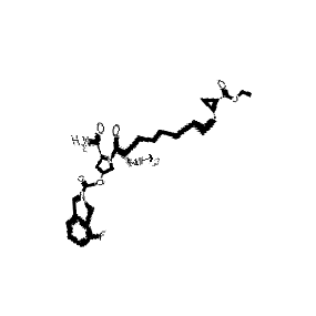 CCOC(=O)[C@H]1C[C@H]1/C=C\CCCCC[C@H](N)C(=O)N1C[C@H](OC(=O)N2Cc3cccc(F)c3C2)C[C@H]1C(N)=O